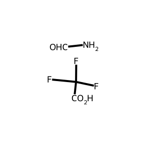 NC=O.O=C(O)C(F)(F)F